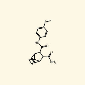 CSc1ccc(NC(=O)C2C(C(N)=O)C3C=CC2C32CC2)cc1